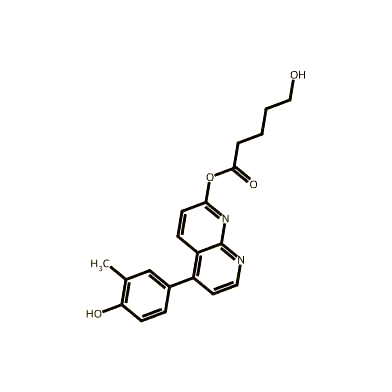 Cc1cc(-c2ccnc3nc(OC(=O)CCCCO)ccc23)ccc1O